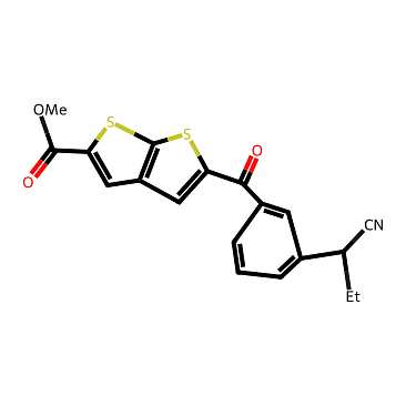 CCC(C#N)c1cccc(C(=O)c2cc3cc(C(=O)OC)sc3s2)c1